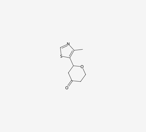 Cc1ncsc1C1CC(=O)CCO1